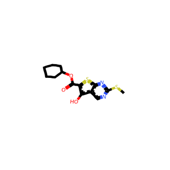 CSc1ncc2c(O)c(C(=O)OC3CCCCC3)sc2n1